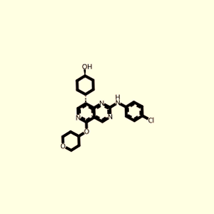 O[C@H]1CC[C@H](c2cnc(OC3CCOCC3)c3cnc(Nc4ccc(Cl)cc4)nc32)CC1